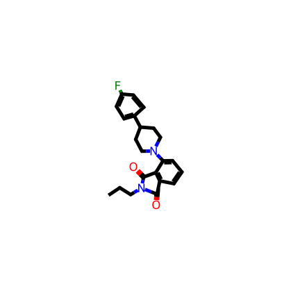 CCCN1C(=O)c2cccc(N3CCC(c4ccc(F)cc4)CC3)c2C1=O